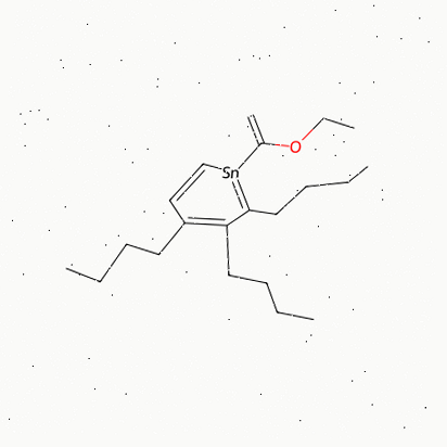 C=[C](OCC)[Sn]1=[C](CCCC)C(CCCC)=C(CCCC)C=[CH]1